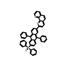 O=P(c1ccccc1)(c1ccccc1)c1ccc2c(-c3ccccc3)c3cc(-c4ccc5ccc6cccnc6c5n4)ccc3c(-c3ccccc3)c2c1